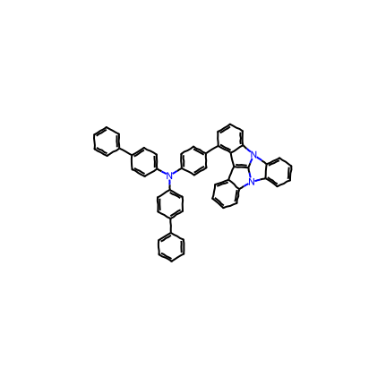 c1ccc(-c2ccc(N(c3ccc(-c4ccccc4)cc3)c3ccc(-c4cccc5c4c4c6ccccc6n6c7ccccc7n5c46)cc3)cc2)cc1